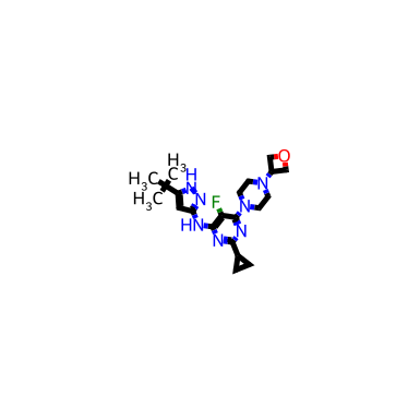 CC(C)(C)c1cc(Nc2nc(C3CC3)nc(N3CCN(C4COC4)CC3)c2F)n[nH]1